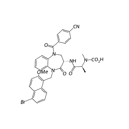 COc1ccc2c(Br)cccc2c1CN1C(=O)[C@@H](NC(=O)[C@H](C)N(C)C(=O)O)CN(C(=O)c2ccc(C#N)cc2)c2ccccc21